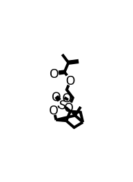 C=C(C)C(=O)OCCOC1(C)C2CC3C1OS(=O)(=O)C3C2